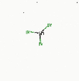 [Br][Sn]([Br])[Br]